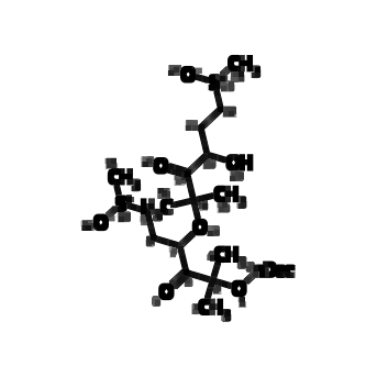 CCCCCCCCCCOC(C)(C)C(=O)C(CC[S+](C)[O-])OC(C)(C)C(=O)C(O)CC[S+](C)[O-]